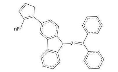 CCCC1=C(c2ccc3c(c2)-c2ccccc2[CH]3[Zr]=[C](c2ccccc2)c2ccccc2)CC=C1